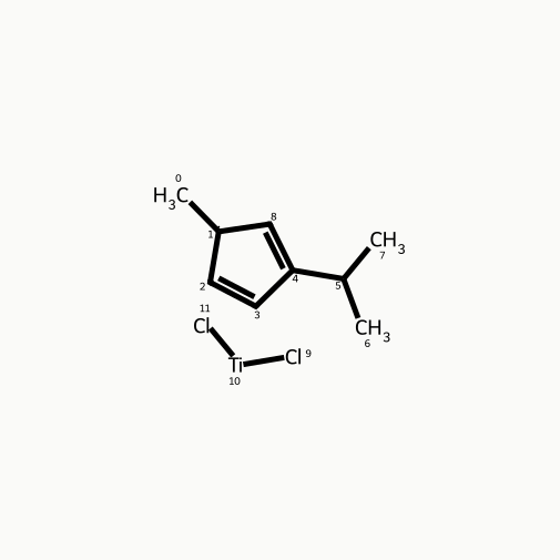 C[C]1C=CC(C(C)C)=C1.[Cl][Ti][Cl]